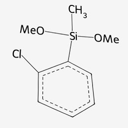 CO[Si](C)(OC)c1ccccc1Cl